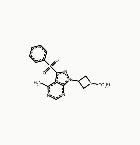 CCOC(=O)N1CC(n2nc(S(=O)(=O)c3ccccc3)c3c(N)ncnc32)C1